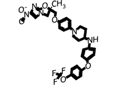 C[C@]1(COc2ccc(N3CCC(Nc4ccc(Oc5ccc(OC(F)(F)F)cc5)cc4)CC3)cc2)Cn2cc([N+](=O)[O-])nc2O1